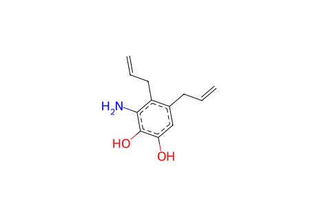 C=CCc1cc(O)c(O)c(N)c1CC=C